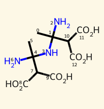 CC(N)(NC(C)(N)C(C(=O)O)C(=O)O)C(C(=O)O)C(=O)O